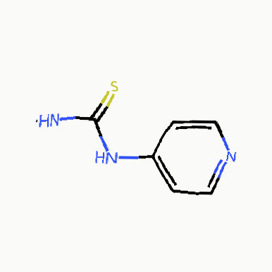 [NH]C(=S)Nc1ccncc1